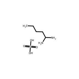 CCCCC(N)N.O=S(=O)(O)O